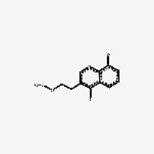 CC(C)c1cccc2c(Cl)c(CCOC=O)cnc12